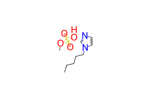 CCCCCn1ccnc1.COS(=O)(=O)O